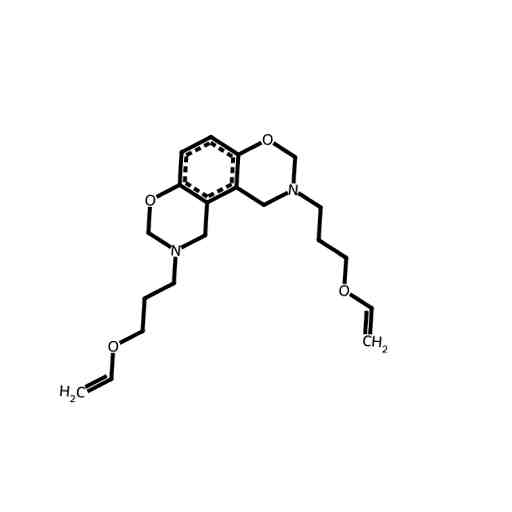 C=COCCCN1COc2ccc3c(c2C1)CN(CCCOC=C)CO3